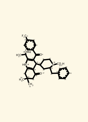 COC(C)C1=C(C(=O)c2ccc(C(F)(F)F)cc2)C(C2CCN(C(=O)O)C(Cc3ccccc3)C2)C2=C(CC(C)(C)CC2=O)N1